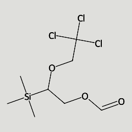 C[Si](C)(C)C(COC=O)OCC(Cl)(Cl)Cl